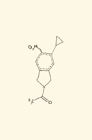 O=C(N1Cc2cc(C3CC3)c([N+](=O)[O-])cc2C1)C(F)(F)F